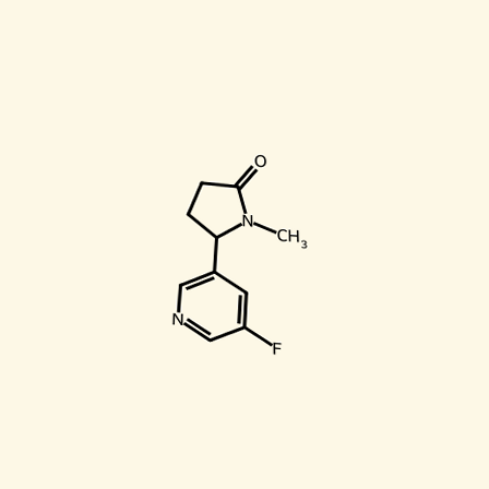 CN1C(=O)CCC1c1cncc(F)c1